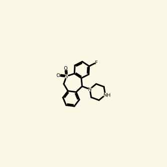 O=S1(=O)Cc2ccccc2C(N2CCNCC2)c2cc(F)ccc21